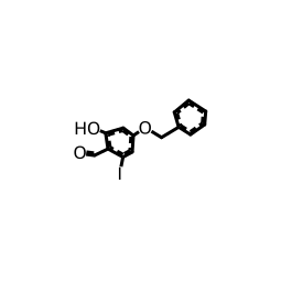 O=Cc1c(O)cc(OCc2ccccc2)cc1I